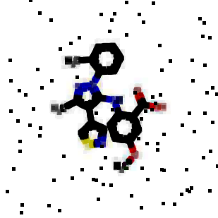 COc1ccc(Nc2c(-c3cnsc3)c(C)nn2-c2ccccc2C)c(C(=O)O)c1